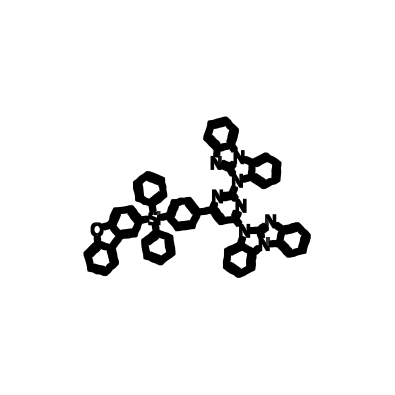 c1ccc([Si](c2ccccc2)(c2ccc(-c3cc(-n4c5ccccc5n5c6ccccc6nc45)nc(-n4c5ccccc5n5c6ccccc6nc45)n3)cc2)c2ccc3oc4ccccc4c3c2)cc1